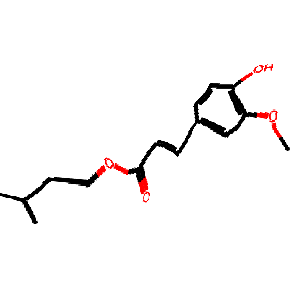 COc1cc(C=CC(=O)OCCC(C)C)ccc1O